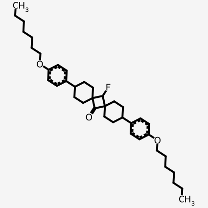 CCCCCCCOc1ccc(C2CCC3(CC2)C(=O)C2(CCC(c4ccc(OCCCCCCC)cc4)CC2)C3F)cc1